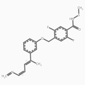 C=N/C=C\C=C(/C)c1cccc(OCc2cc(F)c(C(=O)NSC)cc2F)c1